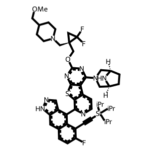 COCC1CCN(C[C@@]2(COc3nc(N4C[C@H]5CC[C@@H](C4)N5)c4c(n3)sc3c(-c5c6cn[nH]c6cc6ccc(F)c(C#C[Si](C(C)C)(C(C)C)C(C)C)c56)nccc34)CC2(F)F)CC1